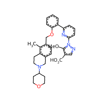 COc1c(C(=O)O)cnn1-c1cccc(-c2ccccc2OCc2ccc3c(c2C)CCN(C2CCOCC2)C3)n1